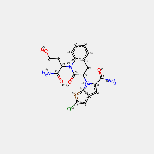 NC(=O)c1cc2cc(Cl)sc2n1C1Cc2ccccc2N(C(CCO)C(N)=O)C1=O